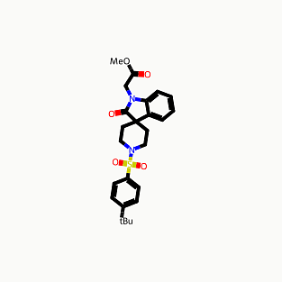 COC(=O)CN1C(=O)C2(CCN(S(=O)(=O)c3ccc(C(C)(C)C)cc3)CC2)c2ccccc21